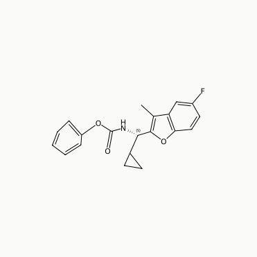 Cc1c([C@@H](NC(=O)Oc2ccccc2)C2CC2)oc2ccc(F)cc12